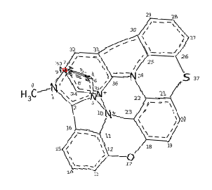 Cn1c2[n+](c3ccccc31)[N+]13c4c(cccc4-2)Oc2ccc4c(c21)-n1c2c(cccc2c2cnc[n+]3c21)S4